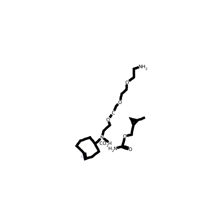 CC1=CC1COC(N)=O.NCCOCCOCCOCCN(C(=O)O)C1CC/C=C/CCC1